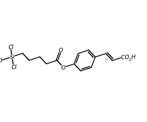 O=C(O)/C=C/c1ccc(OC(=O)CCCC[Si](Cl)(Cl)Cl)cc1